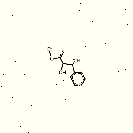 CCOC(=S)C(O)C(C)c1ccccc1